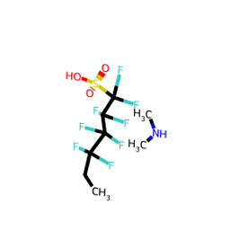 CCC(F)(F)C(F)(F)C(F)(F)C(F)(F)S(=O)(=O)O.CNC